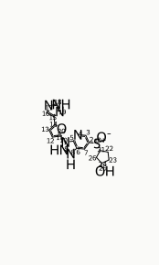 [O-][S+](c1cnc2c(c1)NNN2c1ccc(-c2cn[nH]n2)o1)C1CCC(O)C1